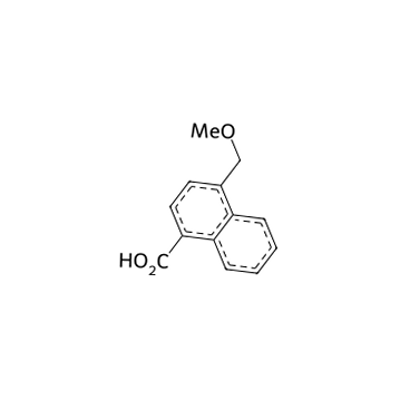 COCc1ccc(C(=O)O)c2ccccc12